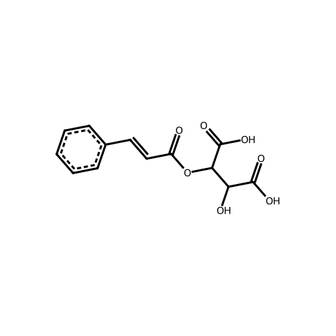 O=C(C=Cc1ccccc1)OC(C(=O)O)C(O)C(=O)O